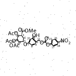 COC(=O)[C@H]1C[C@@H](Oc2ccc(COC(=O)Oc3ccc([N+](=O)[O-])cc3)c(O)c2)[C@H](OC(C)=O)[C@@H](OC(C)=O)[C@@H]1OC(C)=O